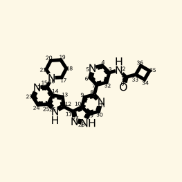 O=C(Nc1cncc(-c2cc3c(-c4cc5c(N6CCCCC6)nccc5[nH]4)n[nH]c3cn2)c1)C1CCC1